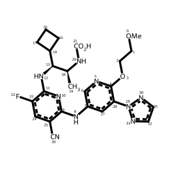 COCCOc1ncc(Nc2nc(N[C@@H](C3CCC3)[C@H](C)NC(=O)O)c(F)cc2C#N)cc1-n1nccn1